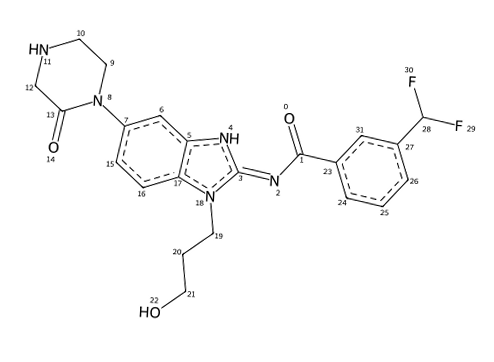 O=C(/N=c1\[nH]c2cc(N3CCNCC3=O)ccc2n1CCCO)c1cccc(C(F)F)c1